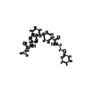 O=C(NCCOc1ccccc1)c1ccc(-c2cccn3nc(NC(=O)C4CC4)nc23)cc1